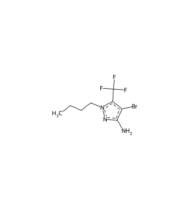 CCCCn1nc(N)c(Br)c1C(F)(F)F